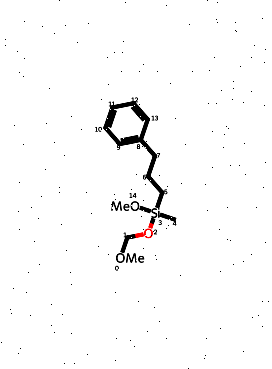 COCO[Si](C)(CCCc1ccccc1)OC